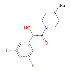 CC(C)(C)N1CCN(C(=O)C(O)c2cc(F)cc(F)c2)CC1